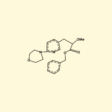 COC(Cc1ccc(N2CCOCC2)nc1)C(=O)OCc1ccccc1